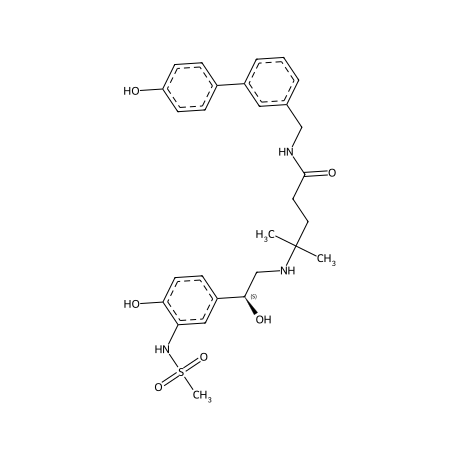 CC(C)(CCC(=O)NCc1cccc(-c2ccc(O)cc2)c1)NC[C@@H](O)c1ccc(O)c(NS(C)(=O)=O)c1